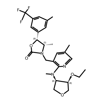 CCO[C@H]1COC[C@H]1N(C)c1ncc(C)cc1CN1C(=O)O[C@H](c2cc(C)cc(C(F)(F)F)c2)[C@@H]1C